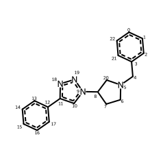 c1ccc(CN2CCC(n3cc(-c4ccccc4)nn3)C2)cc1